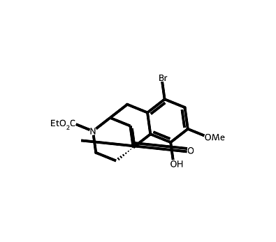 CCOC(=O)N1CC[C@@]23CC(=O)CCC2C1Cc1c(Br)cc(OC)c(O)c13